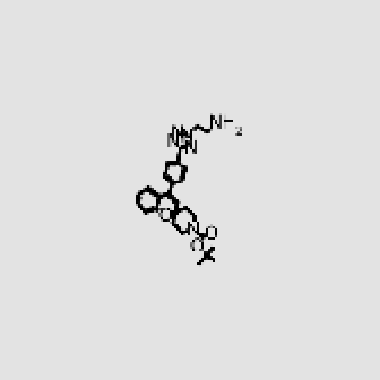 CC(C)(C)OC(=O)N1CCC2(C=C(c3ccc(-c4nnn(CCN)n4)cc3)c3ccccc3O2)CC1